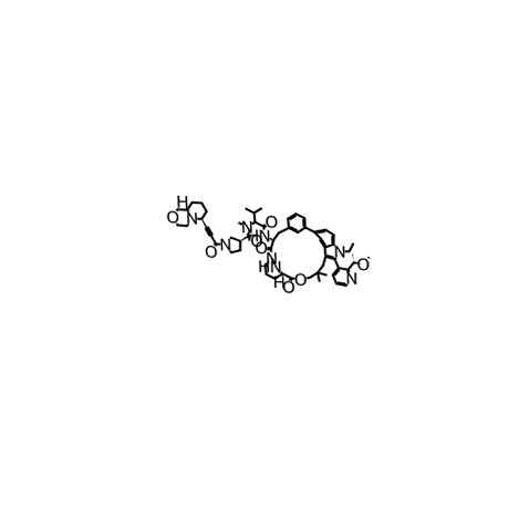 CCn1c(-c2cccnc2[C@H](C)OC)c2c3cc(ccc31)-c1cccc(c1)C[C@H](NC(=O)C(C(C)C)N(C)C(=O)[C@H]1CCN(C(=O)C#C[C@@H]3CCC[C@@H]4COCCN43)C1)C(=O)N1CCC[C@H](N1)C(=O)OCC(C)(C)C2